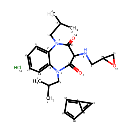 CC(C)CN1C(=O)C(NCC2CO2)C(=O)N(CC(C)C)c2ccccc21.Cl.c1cc2cc-2c1